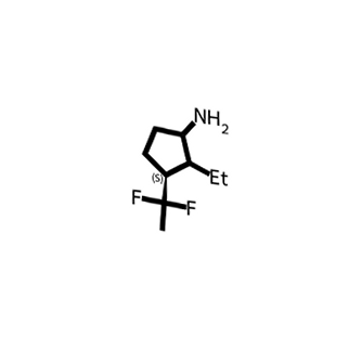 CCC1C(N)CC[C@@H]1C(C)(F)F